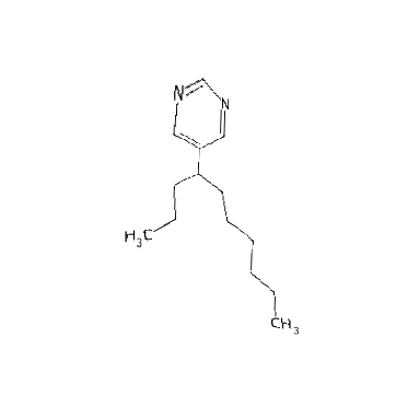 CCCCCCC(CCC)c1cncnc1